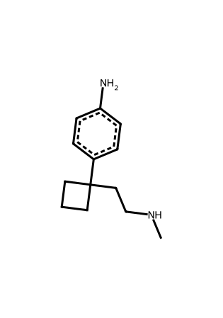 CNCCC1(c2ccc(N)cc2)CCC1